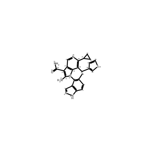 Cc1ccc2[nH]ncc2c1-n1c(N)c(C(N)=O)c2cnc(C3CC3)c(Cc3ccsc3)c21